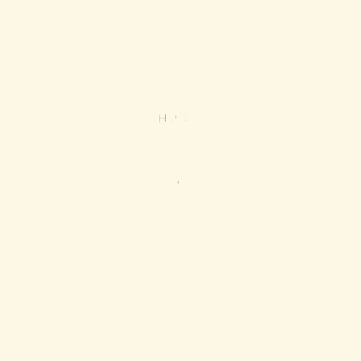 O=S(=O)(O)[CH]CCOc1ccccc1